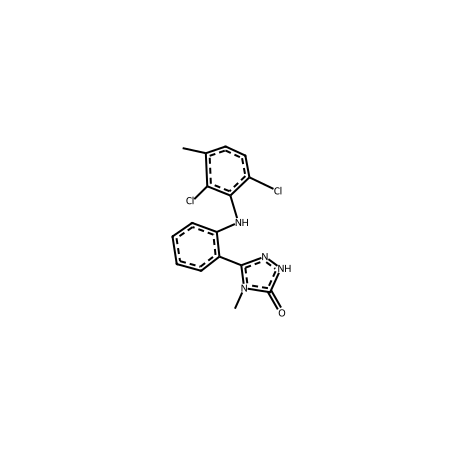 Cc1ccc(Cl)c(Nc2ccccc2-c2n[nH]c(=O)n2C)c1Cl